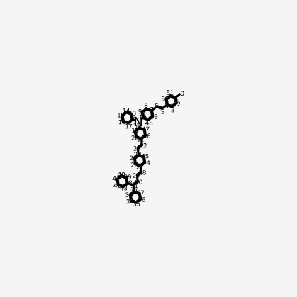 Cc1ccc(C=Cc2ccc(N(c3ccccc3)c3ccc(C=Cc4ccc(C=CC=C(c5ccccc5)c5ccccc5)cc4)cc3)cc2)cc1